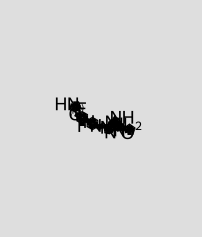 Nc1nc2c(ncn2CCN2CCN(c3ccc(O[C@@H]4CNC[C@H]4F)cc3F)CC2)c2nc(-c3ccco3)nn12